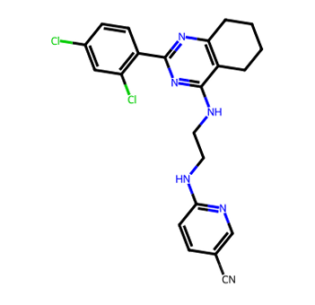 N#Cc1ccc(NCCNc2nc(-c3ccc(Cl)cc3Cl)nc3c2CCCC3)nc1